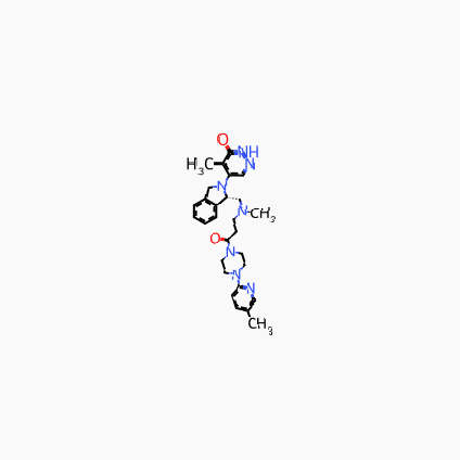 Cc1ccc(N2CCN(C(=O)CCN(C)C[C@@H]3c4ccccc4CN3c3cn[nH]c(=O)c3C)CC2)nc1